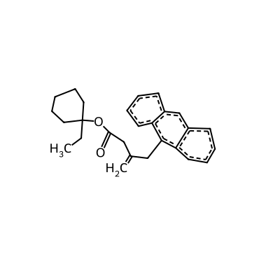 C=C(CC(=O)OC1(CC)CCCCC1)Cc1c2ccccc2cc2ccccc12